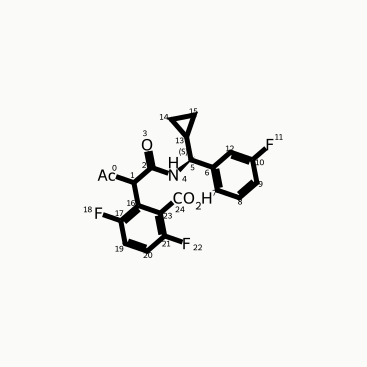 CC(=O)C(C(=O)N[C@H](c1cccc(F)c1)C1CC1)c1c(F)ccc(F)c1C(=O)O